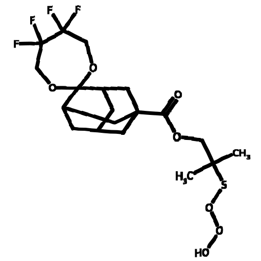 CC(C)(COC(=O)C12CC3CC(C1)C1(OCC(F)(F)C(F)(F)CO1)C(C3)C2)SOOO